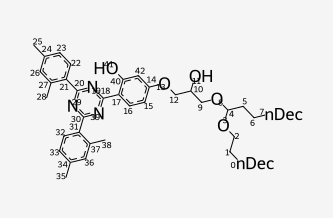 CCCCCCCCCCCCOC(CCCCCCCCCCCC)OCC(O)COc1ccc(-c2nc(-c3ccc(C)cc3C)nc(-c3ccc(C)cc3C)n2)c(O)c1